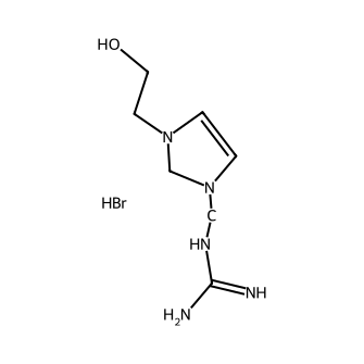 Br.N=C(N)NCN1C=CN(CCO)C1